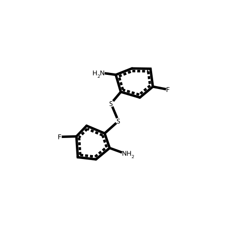 Nc1ccc(F)cc1SSc1cc(F)ccc1N